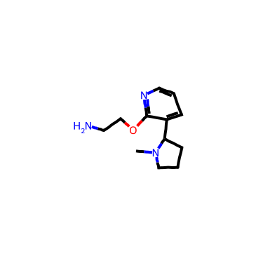 CN1CCCC1c1cccnc1OCCN